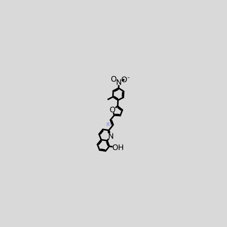 Cc1cc([N+](=O)[O-])ccc1-c1ccc(/C=C/c2ccc3cccc(O)c3n2)o1